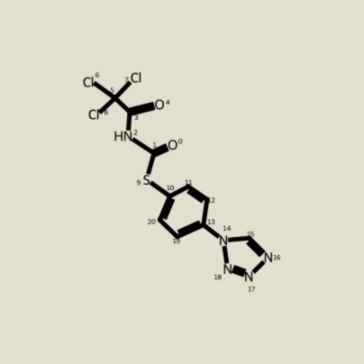 O=C(NC(=O)C(Cl)(Cl)Cl)Sc1ccc(-n2cnnn2)cc1